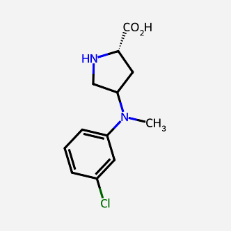 CN(c1cccc(Cl)c1)C1CN[C@H](C(=O)O)C1